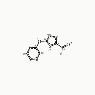 CC(=O)c1cnc(Oc2ccccc2)s1